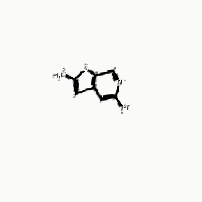 Cc1cc2cc(C(C)C)ncc2s1